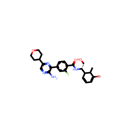 CC1C(Br)=CC=CC1[C@@H](CO)NC(=O)c1ccc(-c2nc(C3CCOCC3)cnc2N)cc1F